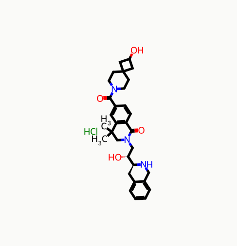 CC1(C)CN(C[C@@H](O)[C@@H]2Cc3ccccc3CN2)C(=O)c2ccc(C(=O)N3CCC4(CC3)CC(O)C4)cc21.Cl